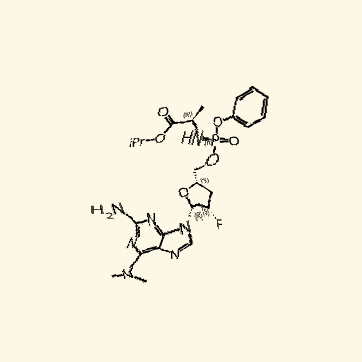 CC(C)OC(=O)[C@@H](C)N[P@@](=O)(OC[C@@H]1C[C@H](F)[C@H](n2cnc3c(N(C)C)nc(N)nc32)O1)Oc1ccccc1